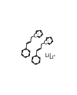 C(=Cc1ccccc1)C[c-]1cccc1.C(=Cc1ccccc1)C[c-]1cccc1.[Li+].[Li+]